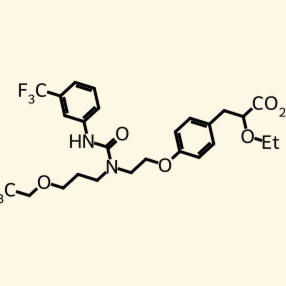 CCOC(Cc1ccc(OCCN(CCCOCC(F)(F)F)C(=O)Nc2cccc(C(F)(F)F)c2)cc1)C(=O)O